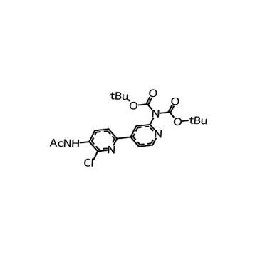 CC(=O)Nc1ccc(-c2ccnc(N(C(=O)OC(C)(C)C)C(=O)OC(C)(C)C)c2)nc1Cl